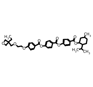 CCC1(COCCOc2ccc(C(=O)Oc3ccc(C(=O)Oc4ccc(C(=O)OC5CC(C)CCC5C(C)C)cc4)cc3)cc2)COC1